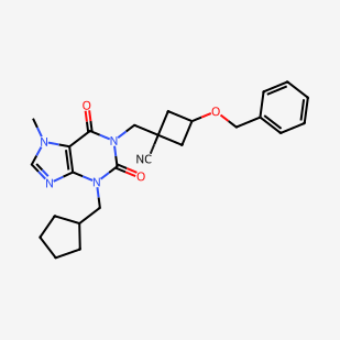 Cn1cnc2c1c(=O)n(CC1(C#N)CC(OCc3ccccc3)C1)c(=O)n2CC1CCCC1